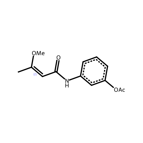 CO/C(C)=C\C(=O)Nc1cccc(OC(C)=O)c1